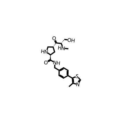 CN[C@@H](CO)C(=O)[C@H]1CN[C@H](C(=O)NCc2ccc(-c3scnc3C)cc2)C1